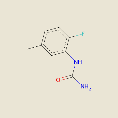 Cc1ccc(F)c(NC(N)=O)c1